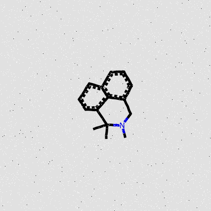 CN1Cc2cccc3cccc(c23)C1(C)C